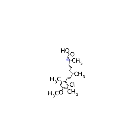 COc1cc(C)c(C=CC(C)=CC=C/C(C)=C/C(=O)O)c(Cl)c1C